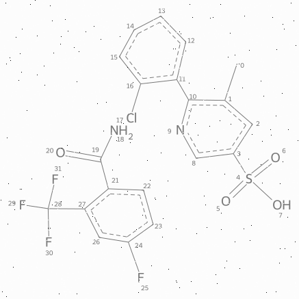 Cc1cc(S(=O)(=O)O)cnc1-c1ccccc1Cl.NC(=O)c1ccc(F)cc1C(F)(F)F